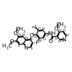 COc1cc2nccc(Oc3c(F)cc(NC(=O)c4cnccc4OC)cc3I)c2cc1OC